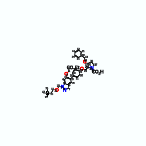 CCOC(=O)COc1cc2c(cnn2COCC[Si](C)(C)C)cc1C1=CCC(OC[C@H]2[C@H](OCc3ccccc3)CCN2C(=O)O)CC1